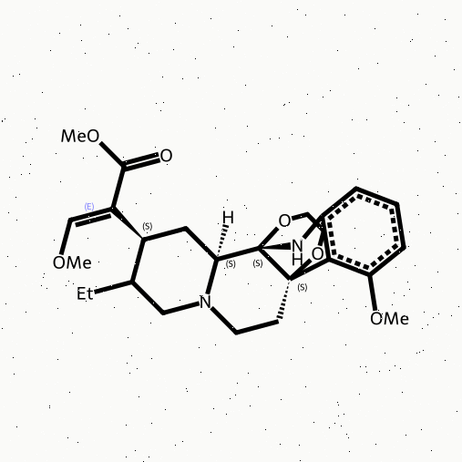 CCC1CN2CC[C@@]34OCCO[C@@]3(Nc3cccc(OC)c34)[C@@H]2C[C@@H]1/C(=C\OC)C(=O)OC